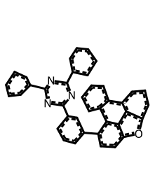 c1ccc(-c2nc(-c3ccccc3)nc(-c3cccc(-c4ccc5oc6cccc7c8ccccc8c4c5c67)c3)n2)cc1